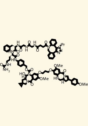 COc1ccc(C2=CN3C(=O)c4cc(OC)c(OCCCOc5cc6c(cc5OC)C(=O)N5CC7(CC7)C[C@H]5C(O)N6C(=O)OCc5ccc(NC(=O)[C@H](CCCNC(N)=O)NC(=O)[C@H](Cc6ccccc6)NC(=O)CNC(=O)CNC(=O)CCC(=O)N6Cc7ccccc7-c7nnn(C(C)C)c7-c7ccccc76)cc5)cc4NC[C@@H]3C2)cc1